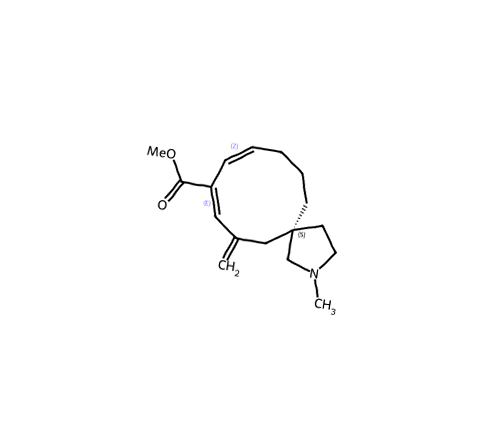 C=C1/C=C(C(=O)OC)\C=C/CCC[C@@]2(CCN(C)C2)C1